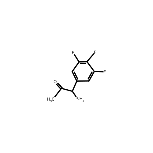 CC(=O)C([SiH3])c1cc(F)c(F)c(F)c1